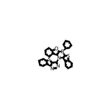 c1ccc(B2c3oc4ccccc4c3N(c3ncnc4c3sc3ccccc34)c3c2sc2ccccc32)cc1